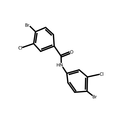 O=C(Nc1ccc(Br)c(Cl)c1)c1ccc(Br)c(Cl)c1